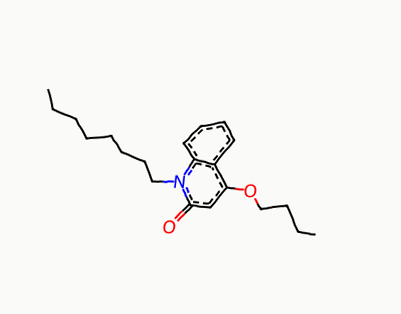 CCCCCCCCn1c(=O)cc(OCCCC)c2ccccc21